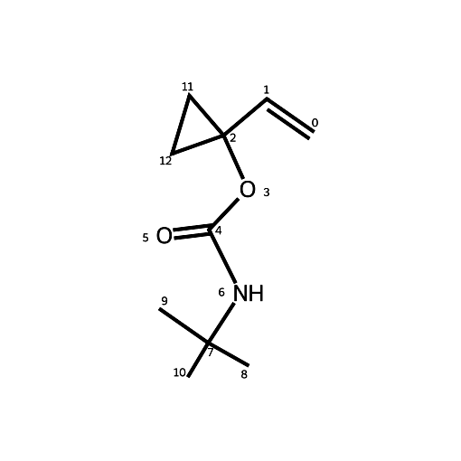 C=CC1(OC(=O)NC(C)(C)C)CC1